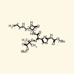 CC(C)(C)OC(=O)Nc1nc(C(=NOC(C)(C)C(=O)OC(C)(C)C)C(=O)N[C@@H]2C(=O)N[C@@H]2CNCCN)cs1